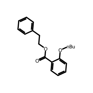 CCCCOc1ccccc1C(=O)OCCc1ccccc1